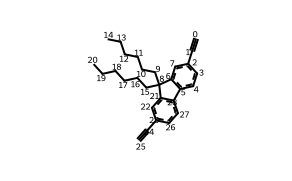 C#Cc1ccc2c(c1)C(CCCCCC)(CCCCCC)c1cc(C#C)ccc1-2